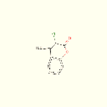 C=C1c2ccccc2OC(=O)C1Cl